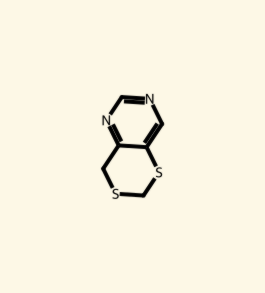 c1ncc2c(n1)CSCS2